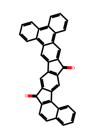 O=c1c2cc3c(cc2c2cc4c5ccccc5c5ccccc5c4cc12)c(=O)c1ccc2ccccc2c13